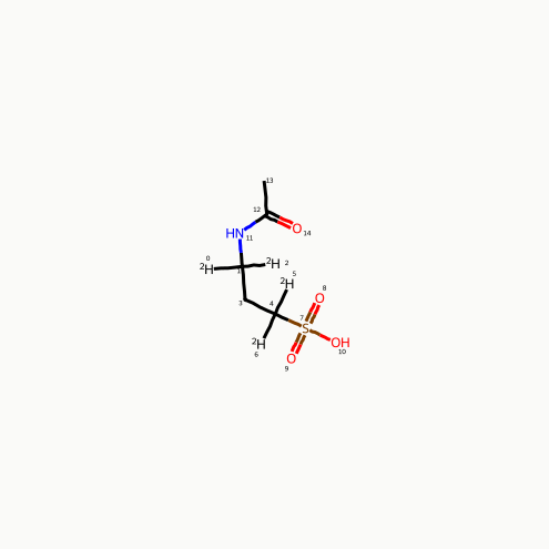 [2H]C([2H])(CC([2H])([2H])S(=O)(=O)O)NC(C)=O